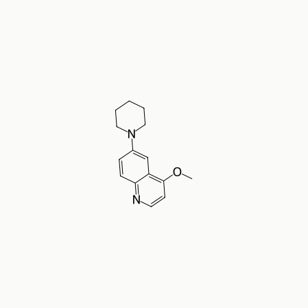 COc1ccnc2ccc(N3CCCCC3)cc12